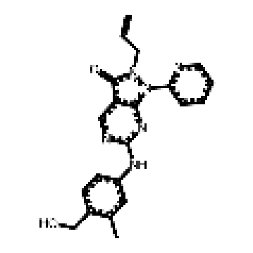 C=CCn1c(=O)c2cnc(Nc3ccc(CO)c(C)c3)nc2n1-c1ccccn1